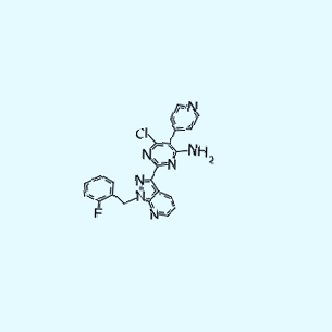 Nc1nc(-c2nn(Cc3ccccc3F)c3ncccc23)nc(Cl)c1-c1ccncc1